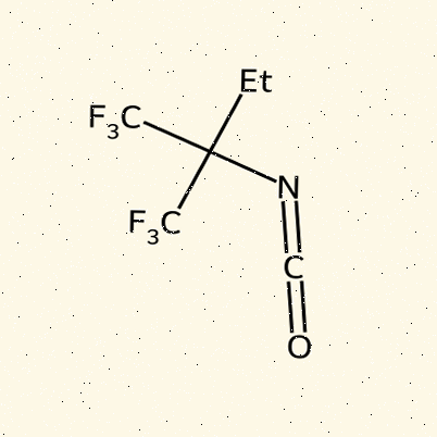 CCC(N=C=O)(C(F)(F)F)C(F)(F)F